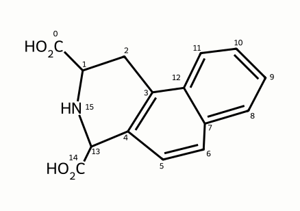 O=C(O)C1Cc2c(ccc3ccccc23)C(C(=O)O)N1